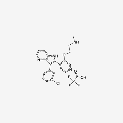 CNCCOc1cnccc1-c1[nH]c2cccnc2c1-c1cccc(Cl)c1.O=C(O)C(F)(F)F